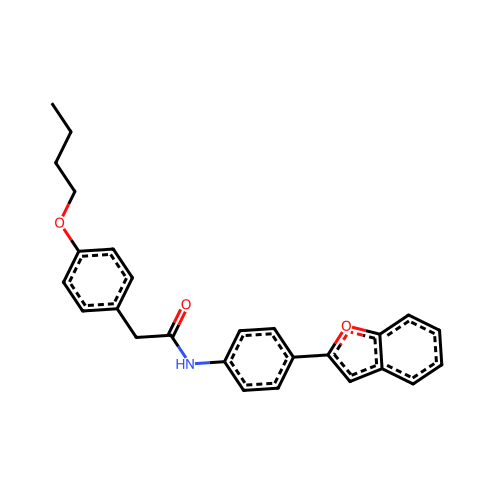 CCCCOc1ccc(CC(=O)Nc2ccc(-c3cc4ccccc4o3)cc2)cc1